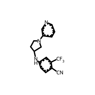 N#Cc1ccc(NC2CCN(c3cccnc3)C2)cc1C(F)(F)F